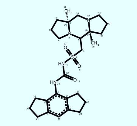 C[C@@]12CCCN1C(CS(=O)(=O)NC(=O)Nc1c3c(cc4c1CCC4)CCC3)[C@@]1(C)CCCN1C2